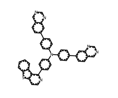 c1ccc2c(c1)sc1ccnc(-c3ccc(N(c4ccc(-c5ccc6cncnc6c5)cc4)c4ccc(-c5ccc6cncnc6c5)cc4)cc3)c12